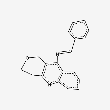 C(=Nc1c2c(nc3ccccc13)CCOC2)c1ccccc1